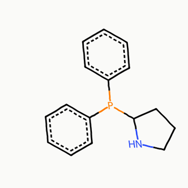 c1ccc(P(c2ccccc2)C2CCCN2)cc1